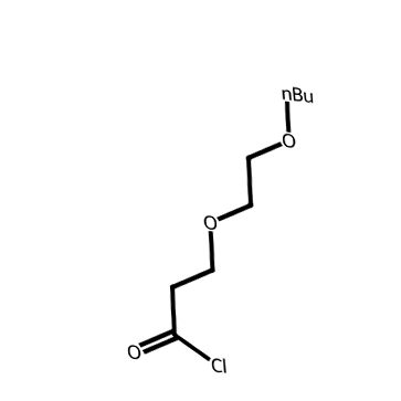 CCCCOCCOCCC(=O)Cl